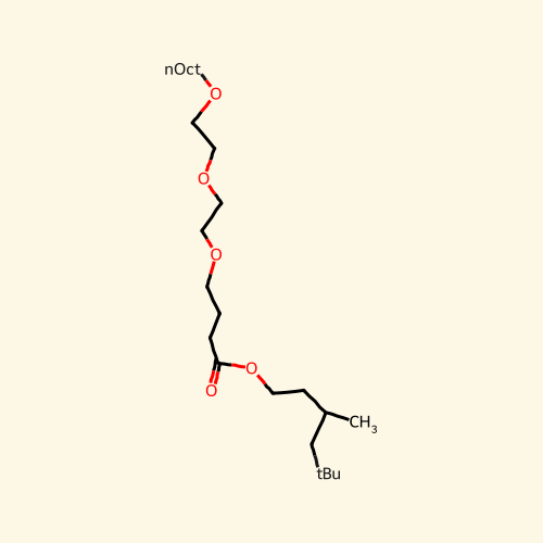 CCCCCCCCOCCOCCOCCCC(=O)OCCC(C)CC(C)(C)C